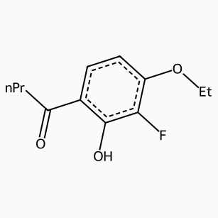 CCCC(=O)c1ccc(OCC)c(F)c1O